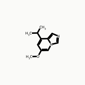 COc1cc(C(C)C)c2cncn2c1